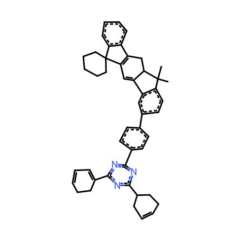 CC1(C)c2ccc(-c3ccc(-c4nc(C5=CC=CCC5)nc(C5CC=CCC5)n4)cc3)cc2C2=CC3=C(CC21)c1ccccc1C31CCCCC1